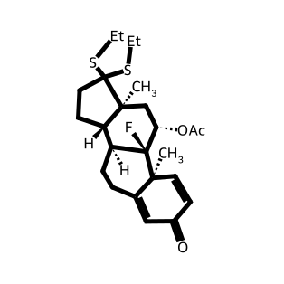 CCSC1(SCC)CC[C@H]2[C@@H]3CCC4=CC(=O)C=C[C@]4(C)[C@@]3(F)[C@@H](OC(C)=O)C[C@@]21C